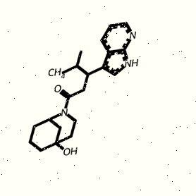 C.CC(C)C(CC(=O)N1CCC2(O)CCCC1C2)c1c[nH]c2ncccc12